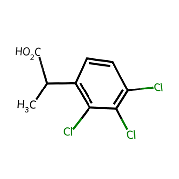 CC(C(=O)O)c1ccc(Cl)c(Cl)c1Cl